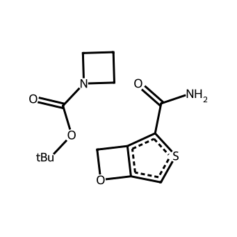 CC(C)(C)OC(=O)N1CCC1.NC(=O)c1scc2c1CO2